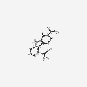 Cc1c(C(N)=O)ccc2c1[nH]c1cccc(C(N)=O)c12